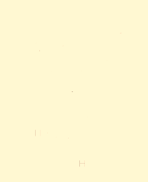 CCC1(COC)CC2CCCC(O)(C2)C1